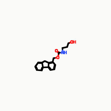 O=C(NCCCO)OCc1cccc2c1Cc1ccccc1-2